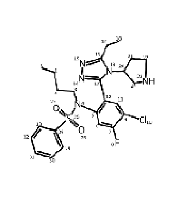 CCCCN(c1cc(F)c(Cl)cc1-c1nnc(CC)n1C1CCNC1)S(=O)(=O)c1ccccc1